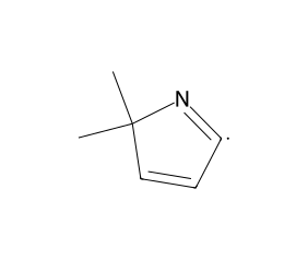 CC1(C)C=C[C]=N1